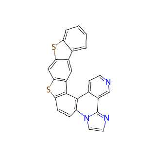 c1ccc2c(c1)sc1cc3sc4ccc5c(c6ccncc6c6nccn56)c4c3cc12